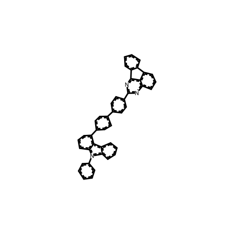 c1ccc(-n2c3ccccc3c3c(-c4ccc(-c5ccc(-c6nc7c8c(cccc8n6)-c6ccccc6-7)cc5)cc4)cccc32)cc1